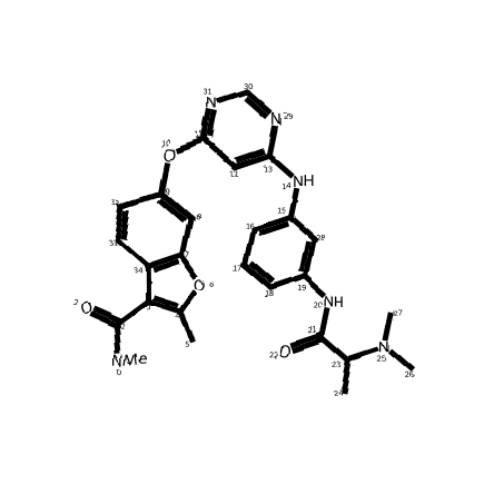 CNC(=O)c1c(C)oc2cc(Oc3cc(Nc4cccc(NC(=O)C(C)N(C)C)c4)ncn3)ccc12